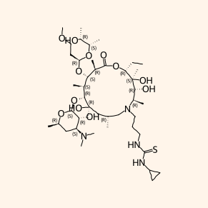 CC[C@H]1OC(=O)[C@H](C)[C@@H](O[C@@H](CCOC)O[C@@H](C)[C@@H](C)O)[C@H](C)[C@@H](O[C@@H]2O[C@H](C)C[C@H](N(C)C)[C@H]2O)[C@](C)(O)C[C@@H](C)CN(CCCNC(=S)NC2CC2)[C@H](C)[C@@H](O)[C@]1(C)O